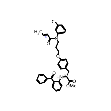 C/C=C/C(=O)N(CCCOc1ccc(C[C@H](Nc2ccccc2C(=O)c2ccccc2)C(=O)OC)cc1)c1cccc(Cl)c1